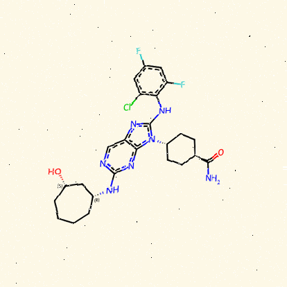 NC(=O)[C@H]1CC[C@H](n2c(Nc3c(F)cc(F)cc3Cl)nc3cnc(N[C@@H]4CCCC[C@H](O)C4)nc32)CC1